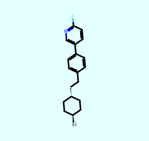 CC[C@H]1CC[C@H](CCc2ccc(-c3ccc(F)nc3)cc2)CC1